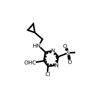 CS(=O)(=O)c1nc(Cl)c(C=O)c(NCC2CC2)n1